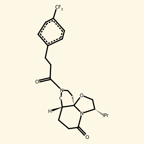 CC(C)[C@H]1CO[C@]23CCN(C(=O)CCc4ccc(C(F)(F)F)cc4)C[C@H]2CCC(=O)N13